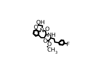 CCOC(=O)C(CCc1ccc(F)cc1)N[C@H]1CCc2ccccc2N(CC(=O)O)C1=O